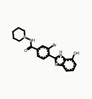 O=C(NN1CCCCC1)c1ccc(-c2nc3cccc(O)c3[nH]2)c(Br)c1